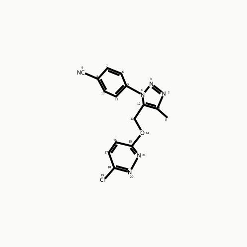 Cc1nnn(-c2ccc(C#N)cc2)c1COc1ccc(Cl)nn1